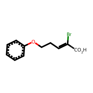 O=C(O)C(Br)=CCCOc1ccccc1